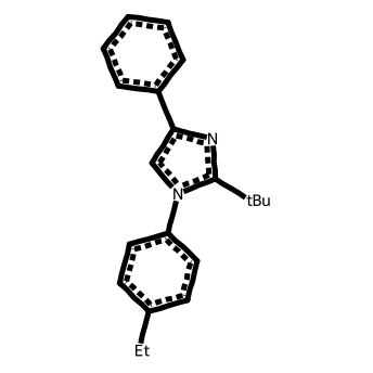 [CH2]Cc1ccc(-n2cc(-c3ccccc3)nc2C(C)(C)C)cc1